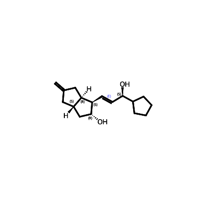 C=C1C[C@H]2C[C@@H](O)[C@H](/C=C/[C@@H](O)C3CCCC3)[C@@H]2C1